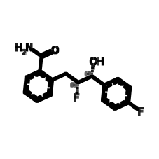 NC(=O)c1ccccc1C[C@@H](F)[C@H](O)c1ccc(F)cc1